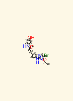 C#CCOc1nc(Nc2ccc(CCCC(=O)Nc3ccc(O)cc3)cc2)ncc1Br